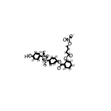 O=C(CCCO[N+](=O)[O-])Oc1ccccc1C(=O)Oc1ccc(P2(=S)SP(=S)(c3ccc(O)cc3)S2)cc1